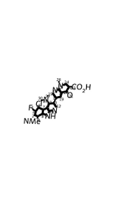 CNc1cc(F)c(Cl)c2c1[nH]c1ncc(-c3cnc4c(c3)c(=O)c(C(=O)O)cn4C)c(N(C)C)c12